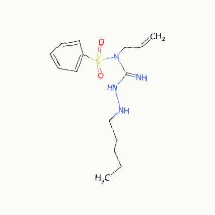 C=CCN(C(=N)NNCCCCC)S(=O)(=O)c1ccccc1